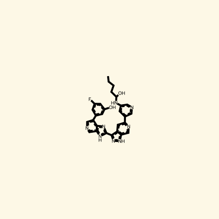 CCCCC(O)Nc1cncc(-c2cc3c(-c4nc5c(-c6cc(O)cc(F)c6)cncc5[nH]4)n[nH]c3cn2)c1